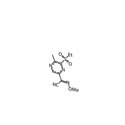 CCS(=O)(=O)c1nc(/C(C#N)=N/OC)cnc1C